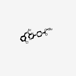 CC(=O)N(Cc1cccc(Cl)c1)c1cncc(N2CCN(C(=O)OC(C)(C)C)CC2)n1